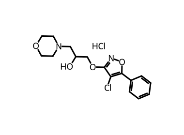 Cl.OC(COc1noc(-c2ccccc2)c1Cl)CN1CCOCC1